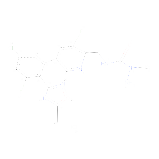 CCN(N)C(=O)NCc1ncc(-c2cc(Cl)cc(F)c2-c2noc(C)n2)cc1F.Cl